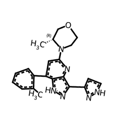 Cc1ccccc1-c1cc(N2CCOC[C@H]2C)nc2c(-c3cc[nH]n3)n[nH]c12